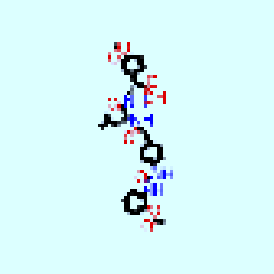 CC(=O)Oc1ccccc1NC(=O)Nc1ccc(CC(=O)N[C@@H](CC(C)C)C(=O)NC[C@@H](C(=O)O)c2ccc3c(c2)OCO3)cc1